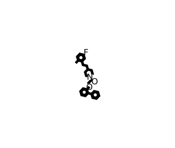 Cc1ccc(F)cc1CCC1CCN(C(=O)COc2ccccc2-c2ccccc2)CC1